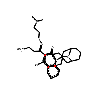 CCC1CC2CC(C1)CC(N1C3CCCC1CC(n1c(=O)c(/C(CCC(=O)O)=N/OCCN(C)C)nc4ccccc41)C3)C2